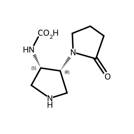 O=C(O)N[C@H]1CNC[C@H]1N1CCCC1=O